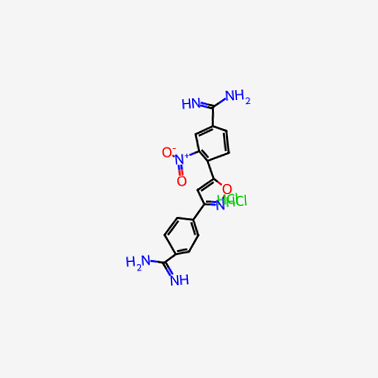 Cl.Cl.N=C(N)c1ccc(-c2cc(-c3ccc(C(=N)N)cc3[N+](=O)[O-])on2)cc1